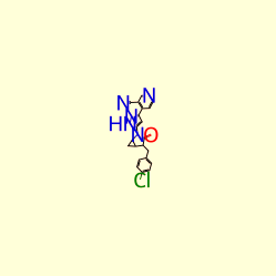 N#Cc1cnccc1-c1cc(N2C(=O)C(Cc3ccc(Cl)cc3)C3CC32)[nH]n1